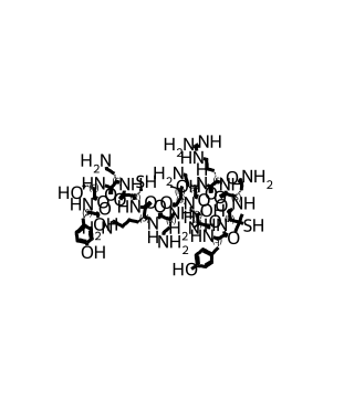 C[C@@H](O)[C@H](N)C(=O)N[C@@H](Cc1ccc(O)cc1)C(=O)N[C@H](C(=O)N[C@@H](CC(N)=O)C(=O)N[C@@H](CCCNC(=N)N)C(=O)N[C@@H](CCN)C(=O)N[C@H](C(=O)N[C@H](CCN)C(=O)N[C@@H](CCCCN)C(=O)N[C@@H](CS)C(=O)N[C@@H](CCN)C(=O)N[C@@H](CO)C(=O)N[C@@H](Cc1ccc(O)cc1)C(=O)O)[C@@H](C)O)C(C)(C)S